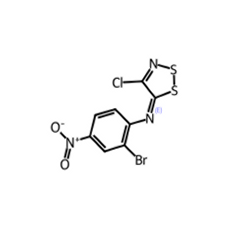 O=[N+]([O-])c1ccc(/N=c2/ssnc2Cl)c(Br)c1